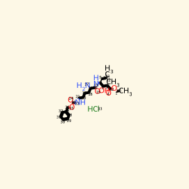 CCOC(=O)C[C@H](O)[C@H](CC(C)C)NC(=O)[C@@H](N)CCCCNC(=O)OCc1ccccc1.Cl